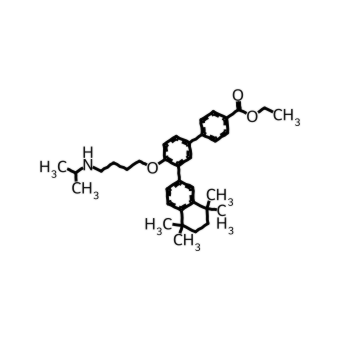 CCOC(=O)c1ccc(-c2ccc(OCCCCNC(C)C)c(-c3ccc4c(c3)C(C)(C)CCC4(C)C)c2)cc1